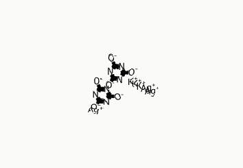 [Ag+].[Ag+].[Ag+].[K+].[K+].[K+].[O-]c1nc([O-])nc([O-])n1.[O-]c1nc([O-])nc([O-])n1